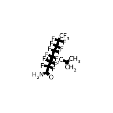 C=C(C)C(=O)O.NC(=O)C(F)(F)C(F)(F)C(F)(F)C(F)(F)C(F)(F)C(F)(F)C(F)(F)F